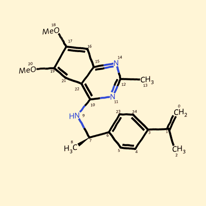 C=C(C)c1ccc([C@@H](C)Nc2nc(C)nc3cc(OC)c(OC)cc23)cc1